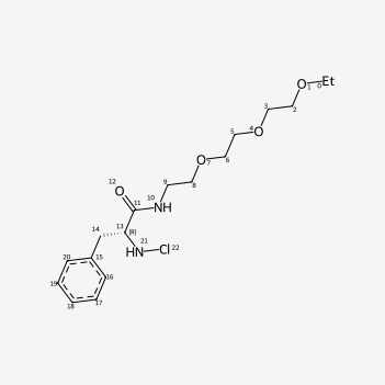 CCOCCOCCOCCNC(=O)[C@@H](Cc1ccccc1)NCl